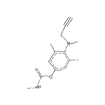 C#CCN(C)c1c(C)cc(OC(=O)NC)cc1C